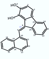 Oc1ccc2c(c1O)/C(=C/c1ccnc3ccccc13)c1ccccc1-2